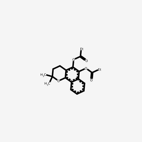 CCC(=O)Oc1c2c(c3ccccc3c1OC(=O)CC)OC(C)(C)CC2